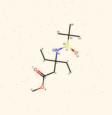 CCC(CC)(CC(=O)OC)N[S@+]([O-])C(C)(C)C